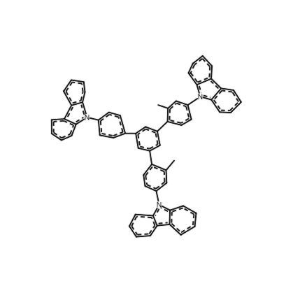 Cc1cc(-n2c3ccccc3c3ccccc32)ccc1-c1cc(-c2ccc(-n3c4ccccc4c4ccccc43)cc2)cc(-c2ccc(-n3c4ccccc4c4ccccc43)cc2C)c1